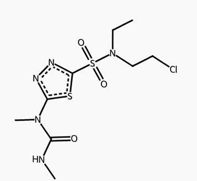 CCN(CCCl)S(=O)(=O)c1nnc(N(C)C(=O)NC)s1